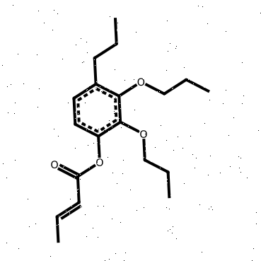 CC=CC(=O)Oc1ccc(CCC)c(OCCC)c1OCCC